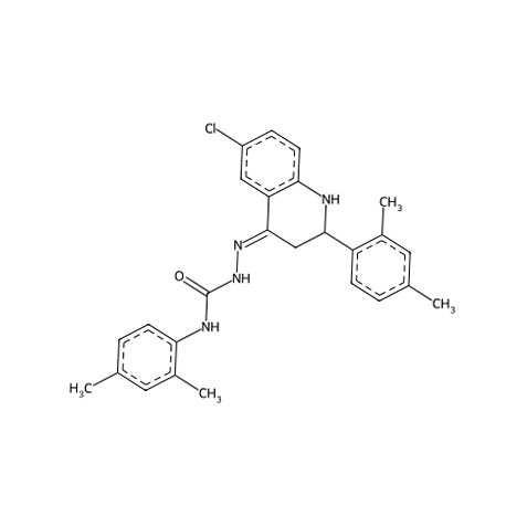 Cc1ccc(NC(=O)NN=C2CC(c3ccc(C)cc3C)Nc3ccc(Cl)cc32)c(C)c1